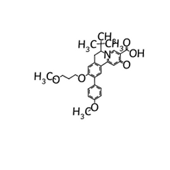 COCCCOc1cc2c(cc1-c1ccc(OC)cc1)-c1cc(=O)c(C(=O)O)cn1C(C(C)(C)C)C2